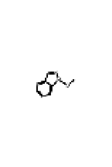 COn1ncc2ccccc21